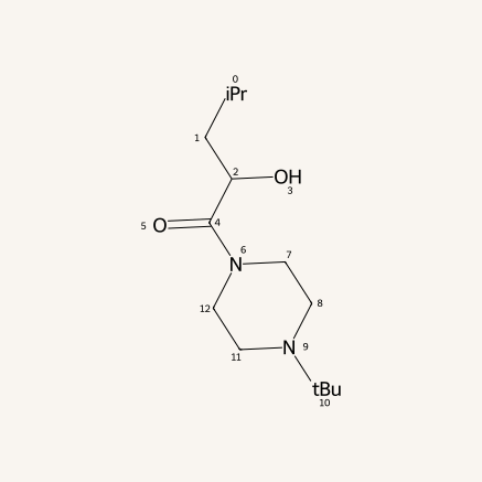 CC(C)CC(O)C(=O)N1CCN(C(C)(C)C)CC1